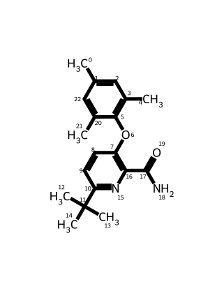 Cc1cc(C)c(Oc2ccc(C(C)(C)C)nc2C(N)=O)c(C)c1